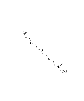 CCCCCCCCN(C)CCOCCOCCOCCO